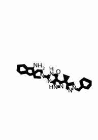 N[C@@H]1c2ccccc2CC12CCN(c1nc3[nH]nc(C4(c5cnn(Cc6ccccc6)c5)CC4)c3c(=O)[nH]1)CC2